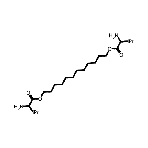 CC(C)C(N)C(=O)OCCCCCCCCCCCCOC(=O)C(N)C(C)C